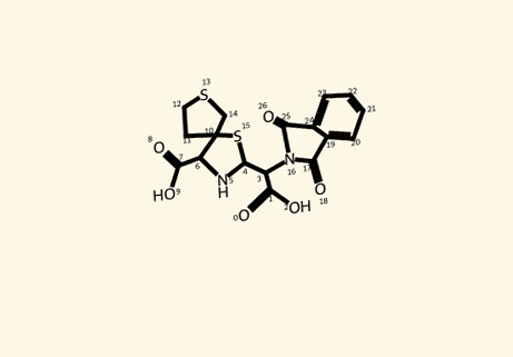 O=C(O)C(C1NC(C(=O)O)C2(CCSC2)S1)N1C(=O)c2ccccc2C1=O